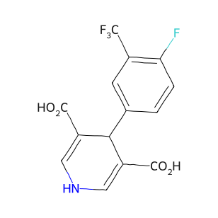 O=C(O)C1=CNC=C(C(=O)O)C1c1ccc(F)c(C(F)(F)F)c1